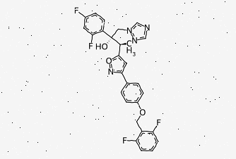 C[C@@H](c1cc(-c2ccc(OCc3c(F)cccc3F)cc2)no1)[C@](O)(Cn1cncn1)c1ccc(F)cc1F